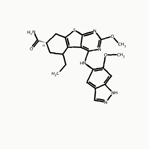 CCC1C[C@H](C(N)=O)Cc2sc3nc(OC)nc(Nc4cc5cn[nH]c5cc4OC)c3c21